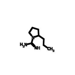 CCCC1CCCN1C(=N)N